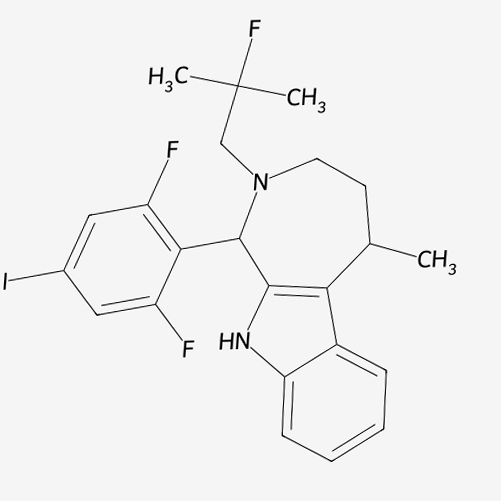 CC1CCN(CC(C)(C)F)C(c2c(F)cc(I)cc2F)c2[nH]c3ccccc3c21